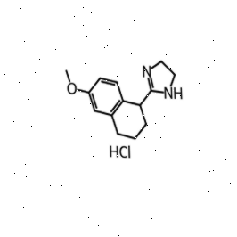 COc1ccc2c(c1)CCCC2C1=NCCN1.Cl